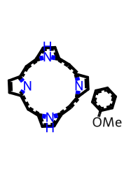 C1=Cc2cc3ccc(cc4nc(cc5ccc(cc1n2)[nH]5)C=C4)[nH]3.COc1ccccc1